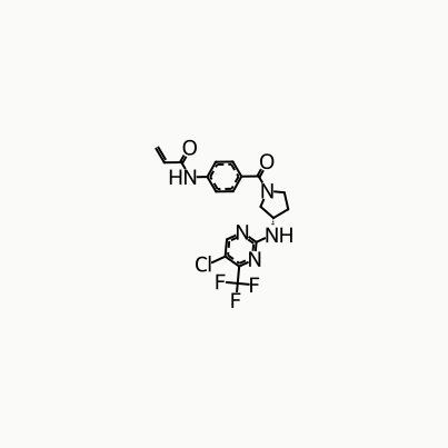 C=CC(=O)Nc1ccc(C(=O)N2CC[C@H](Nc3ncc(Cl)c(C(F)(F)F)n3)C2)cc1